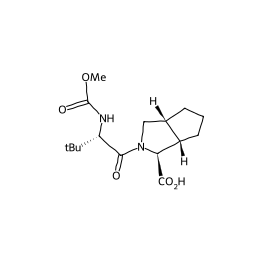 COC(=O)N[C@H](C(=O)N1C[C@@H]2CCC[C@@H]2[C@H]1C(=O)O)C(C)(C)C